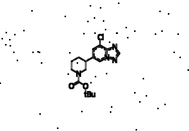 CC(C)(C)OC(=O)N1CCCC(c2cc(Cl)c3ncnn3c2)C1